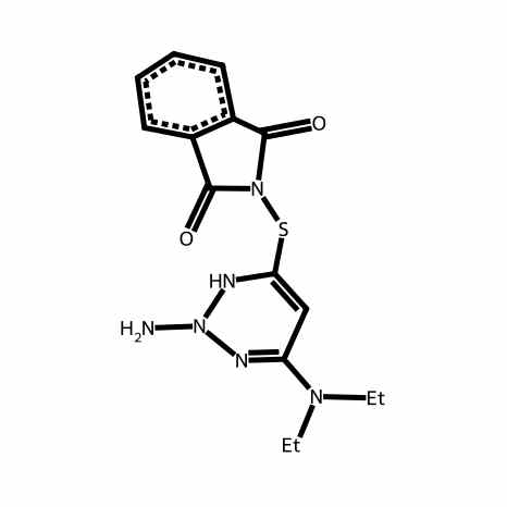 CCN(CC)C1=NN(N)NC(SN2C(=O)c3ccccc3C2=O)=C1